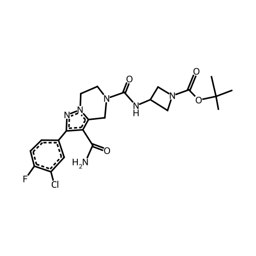 CC(C)(C)OC(=O)N1CC(NC(=O)N2CCn3nc(-c4ccc(F)c(Cl)c4)c(C(N)=O)c3C2)C1